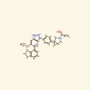 COc1cc2[nH]nc(-c3ccc(C45CC4CN(C(C)O)C5)cc3)c2nc1-c1cccc2c1CCC2